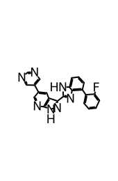 Fc1ccccc1-c1cccc2[nH]c(-c3n[nH]c4ncc(-c5cncnc5)cc34)nc12